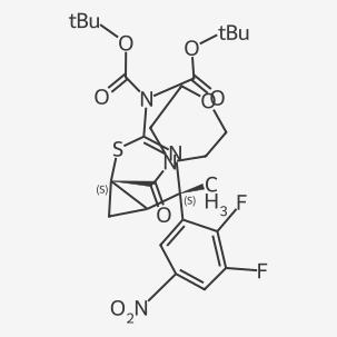 CC(C)(C)OC(=O)N(C(=O)OC(C)(C)C)C1=N[C@](C)(c2cc([N+](=O)[O-])cc(F)c2F)C2C[C@]2(C(=O)N2CCOCC2)S1